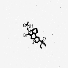 CCN(CC)C(=O)C1C=C2c3cccc4c3c(c(Br)n4CNC(C)=O)CC2N(C)C1